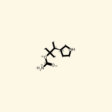 CC([C@@H]1CCNC1)C(C)(C)OC(N)=O